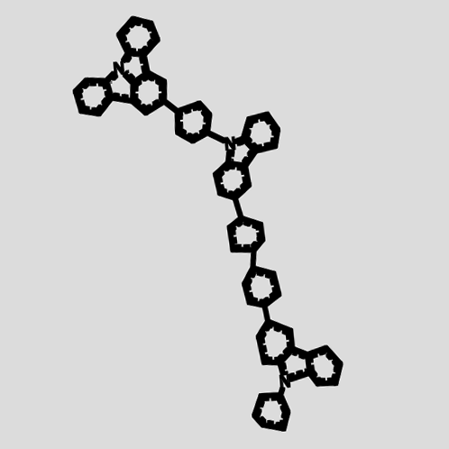 c1ccc(-n2c3ccccc3c3cc(-c4ccc(-c5ccc(-c6ccc7c(c6)c6ccccc6n7-c6ccc(-c7cc8c9ccccc9n9c%10ccccc%10c(c7)c89)cc6)cc5)cc4)ccc32)cc1